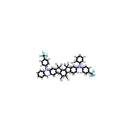 Cc1ccccc1N(c1ccc(C(F)(F)F)cc1)c1ccc2c(c1)C(C)(C)c1c-2c(C)c(C)c2c1C(C)(C)c1cc(N(c3ccc(C(F)(F)F)cc3)c3ccccc3C)ccc1-2